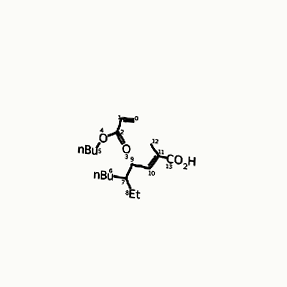 C=CC(=O)OCCCC.CCCCC(CC)CC=C(C)C(=O)O